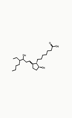 CCCCC(CC)C(O)CC=C1CC[C@H](O)[C@@H]1CCCCCCC(=O)O